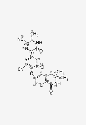 C=C1NC(=O)N(c2cc(Cl)c(Oc3ccc4c(c3)CC(C)(C)NC4=O)c(Cl)c2)N=C1C#N